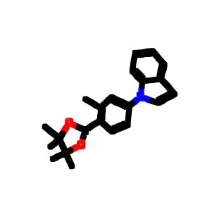 Cc1cc(-n2ccc3ccccc32)ccc1B1OC(C)(C)C(C)(C)O1